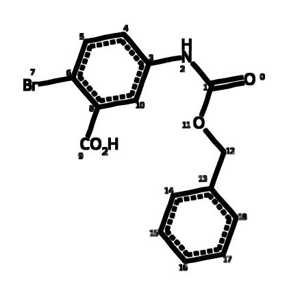 O=C(Nc1ccc(Br)c(C(=O)O)c1)OCc1ccccc1